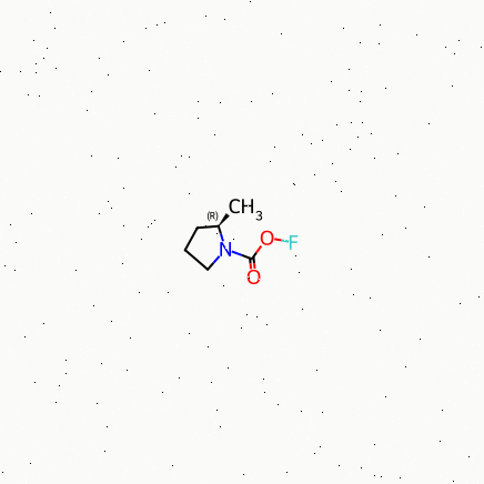 C[C@@H]1CCCN1C(=O)OF